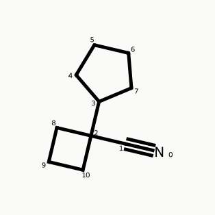 N#CC1(C2CCCC2)CCC1